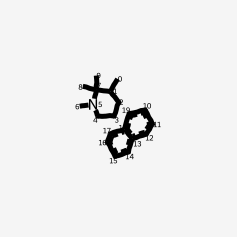 CC1CCCN(C)C1(C)C.c1ccc2ccccc2c1